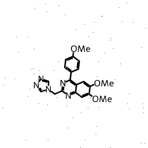 COc1ccc(-c2nc(Cn3cnnc3)nc3cc(OC)c(OC)cc23)cc1